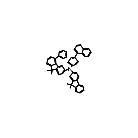 CC1(C)c2ccccc2-c2ccc(N(c3ccc(-c4cccc5ccccc45)cc3)c3ccc4c(c3)-c3c(-c5ccccc5)cccc3C4(C)C)cc21